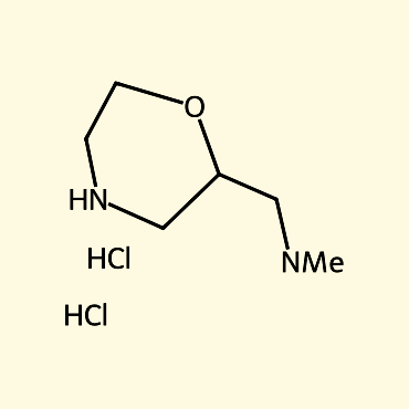 CNCC1CNCCO1.Cl.Cl